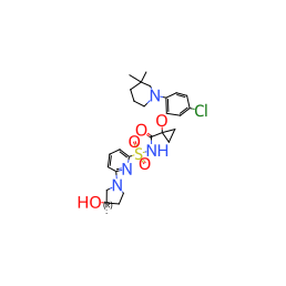 CC1(C)CCCN(c2ccc(Cl)cc2OC2(C(=O)NS(=O)(=O)c3cccc(N4CC[C@@](C)(O)C4)n3)CC2)C1